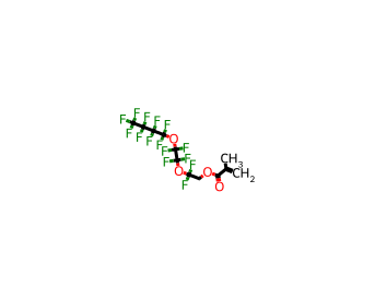 C=C(C)C(=O)OCC(F)(F)OC(F)(F)C(F)(F)OC(F)(F)C(F)(F)C(F)(F)C(F)(F)F